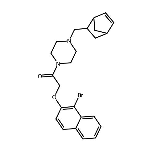 O=C(COc1ccc2ccccc2c1Br)N1CCN(CC2CC3C=CC2C3)CC1